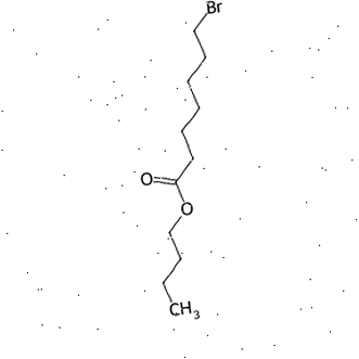 CCCCOC(=O)CCCCCCBr